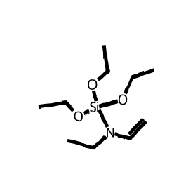 C=CN(CC)[Si](OCC)(OCC)OCC